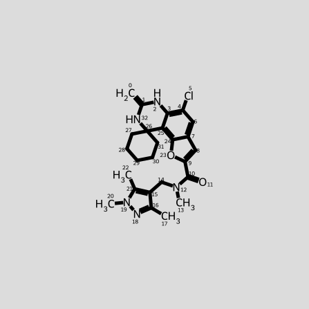 C=C1Nc2c(Cl)cc3cc(C(=O)N(C)Cc4c(C)nn(C)c4C)oc3c2C2(CCCCC2)N1